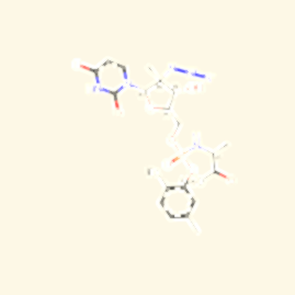 COC(=O)[C@H](C)NP(=O)(OC[C@H]1O[C@@H](n2ccc(=O)[nH]c2=O)[C@](C)(N=[N+]=[N-])[C@@H]1O)Oc1cc(C)ccc1C(C)C